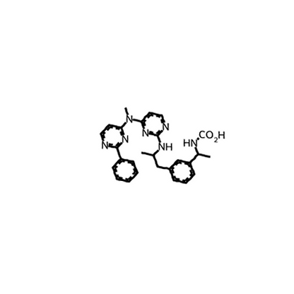 CC(Cc1cccc(C(C)NC(=O)O)c1)Nc1nccc(N(C)c2ccnc(-c3ccccc3)n2)n1